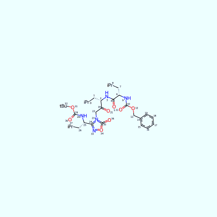 CC(C)C[C@H](NC(=O)[C@H](CC(C)C)NC(=O)OCc1ccccc1)C(=O)Cn1c([C@H](CC(C)C)NC(=O)OC(C)(C)C)noc1=O